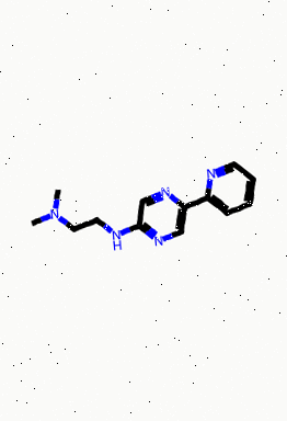 CN(C)CCNc1cnc(-c2ccccn2)cn1